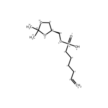 C=CCCCCP(=O)(O)OC[C@@H]1COC(C)(C)O1